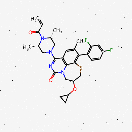 C=CC(=O)N1[C@H](C)CN(c2nc(=O)n3c4c(c(-c5ccc(F)cc5F)c(C)cc24)SCC(OC2CC2)C3)C[C@@H]1C